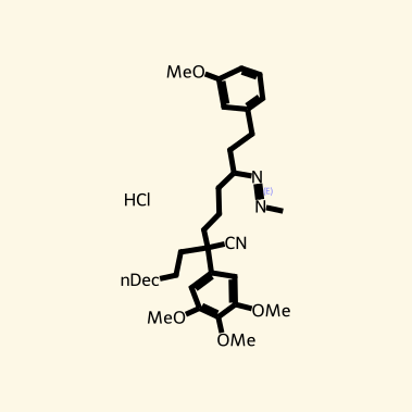 CCCCCCCCCCCCC(C#N)(CCCC(CCc1cccc(OC)c1)/N=N/C)c1cc(OC)c(OC)c(OC)c1.Cl